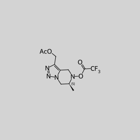 CC(=O)OCc1nnn2c1CN(OC(=O)C(F)(F)F)[C@@H](C)C2